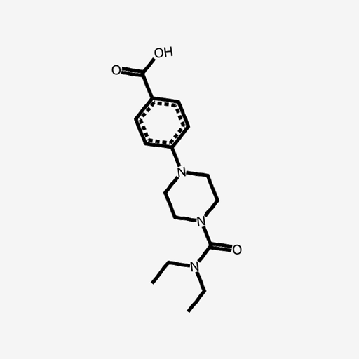 CCN(CC)C(=O)N1CCN(c2ccc(C(=O)O)cc2)CC1